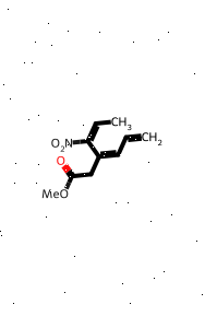 C=C/C=C(CC(=O)OC)\C(=C/C)[N+](=O)[O-]